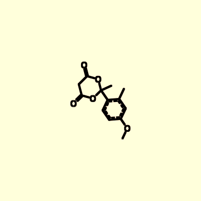 COc1ccc(C2(C)OC(=O)CC(=O)O2)c(C)c1